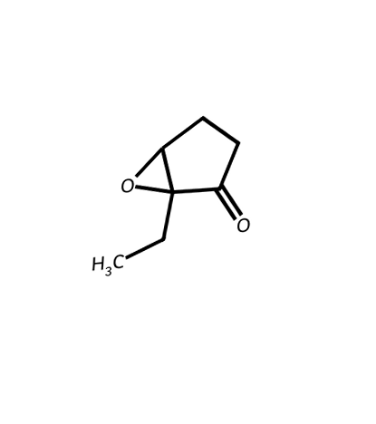 CCC12OC1CCC2=O